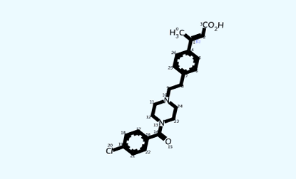 C/C(=C\C(=O)O)c1ccc(CCN2CCN(C(=O)c3ccc(Cl)cc3)CC2)cc1